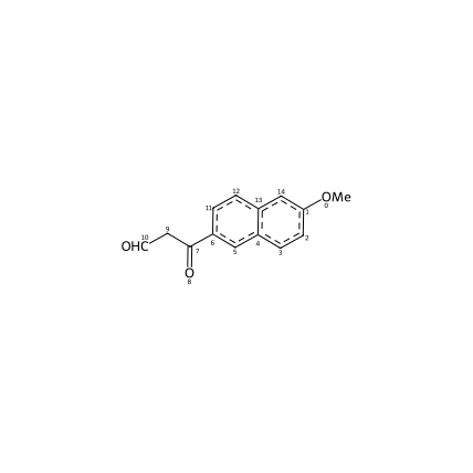 COc1ccc2cc(C(=O)CC=O)ccc2c1